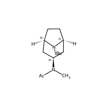 CC(=O)N(C)[C@H]1C[C@H]2CC[C@@H](C1)N2C(C)(C)C